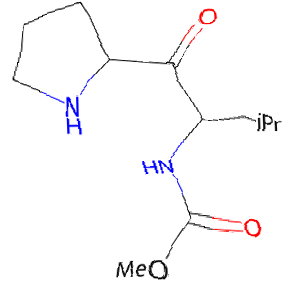 COC(=O)NC(C(=O)C1CCCN1)C(C)C